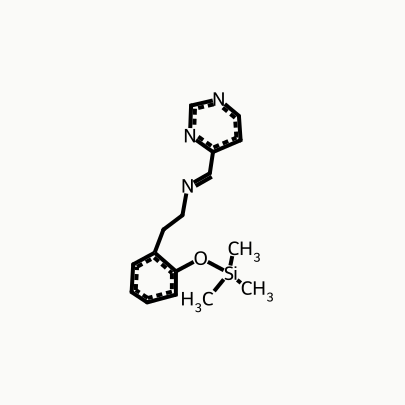 C[Si](C)(C)Oc1ccccc1CCN=Cc1ccncn1